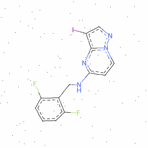 Fc1cccc(F)c1CNc1ccn2ncc(I)c2n1